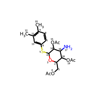 CC(=O)OCC1OC(Sc2ccc(C)c(C)c2)C(OC(C)=O)C(N)C1OC(C)=O